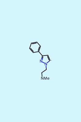 CNCCn1[c]cc(-c2ccccc2)n1